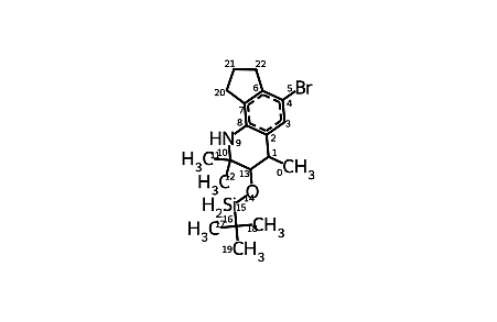 CC1c2cc(Br)c3c(c2NC(C)(C)C1O[SiH2]C(C)(C)C)CCC3